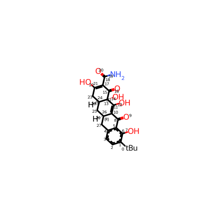 CC(C)(C)c1ccc2c(c1O)C(=O)C1=C(O)[C@]3(O)C(=O)C(C(N)=O)=C(O)C[C@@H]3C[C@@H]1C2